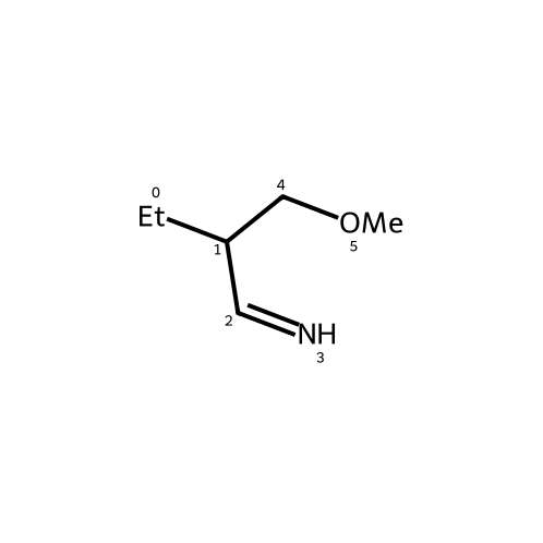 [CH2]CC(C=N)COC